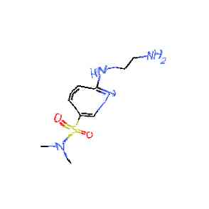 CN(C)S(=O)(=O)c1ccc(NCCN)nc1